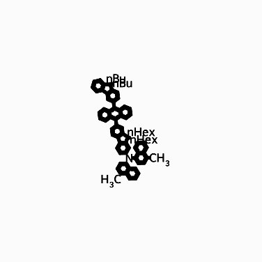 CCCCCCC1(CCCCCC)c2cc(-c3c4ccccc4c(-c4ccc5c(c4)-c4ccccc4C5(CCCC)CCCC)c4ccccc34)ccc2-c2ccc(N(c3ccc(C)c4ccccc34)c3ccc(C)c4ccccc34)cc21